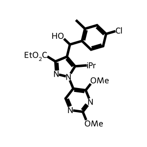 CCOC(=O)c1nn(-c2cnc(OC)nc2OC)c(C(C)C)c1C(O)c1ccc(Cl)cc1C